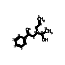 C=CCN(CC(=O)c1ccccc1)B(C)O